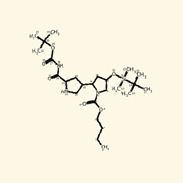 CCCCOC(=O)N1CC(O[Si](C)(C)C(C)(C)C)CC1C1CNC(C(=O)NC(=O)OC(C)(C)C)C1